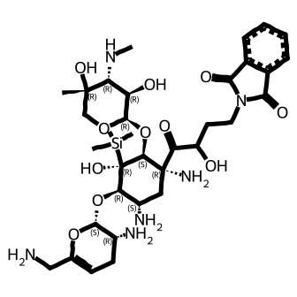 CN[C@@H]1[C@@H](O)[C@@H](O[C@@H]2[C@](O)([Si](C)(C)C)[C@H](O[C@H]3OC(CN)=CC[C@H]3N)[C@@H](N)C[C@]2(N)C(=O)C(O)CCN2C(=O)c3ccccc3C2=O)OC[C@]1(C)O